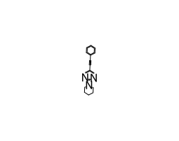 C(#Cc1cnc(N2CCCCC2)nc1)c1ccccc1